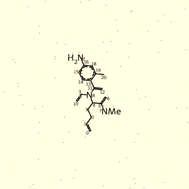 C=CCCC(C(=C)NC)N(C=C)C(=C)c1ccc(N)cc1C